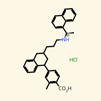 Cc1cc(C2CC(CCCN[C@H](C)c3cccc4ccccc34)Cc3ccccc32)ccc1C(=O)O.Cl